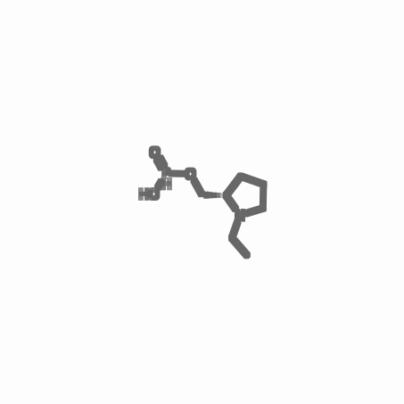 CCN1CCC[C@H]1CO[PH](=O)O